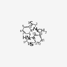 CN1CSC2=CC=CCC21.c1ccc2c(c1)NCS2